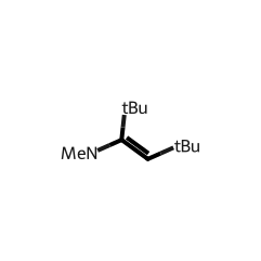 CN/C(=C/C(C)(C)C)C(C)(C)C